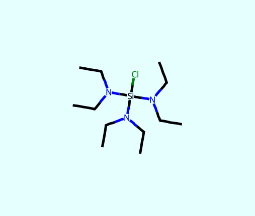 CCN(CC)[Si](Cl)(N(CC)CC)N(CC)CC